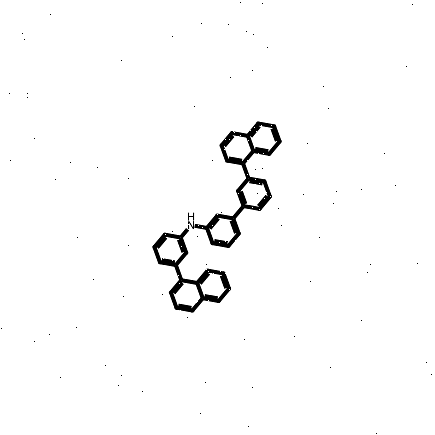 c1cc(Nc2cccc(-c3cccc4ccccc34)c2)cc(-c2cccc(-c3cccc4ccccc34)c2)c1